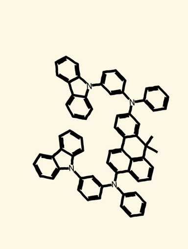 CC1(C)c2cc(N(c3ccccc3)c3cccc(-n4c5ccccc5c5ccccc54)c3)ccc2-c2ccc(N(c3ccccc3)c3cccc(-n4c5ccccc5c5ccccc54)c3)c3cccc1c23